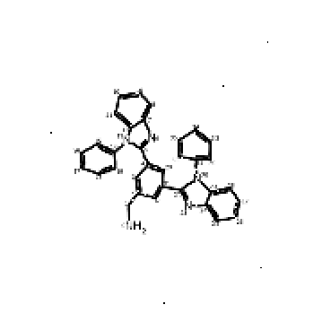 NCc1cc(-c2nc3ccccc3n2-c2ccccc2)cc(-c2nc3ccccc3n2-c2ccccc2)c1